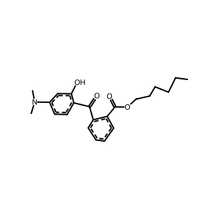 CCCCCCOC(=O)c1ccccc1C(=O)c1ccc(N(C)C)cc1O